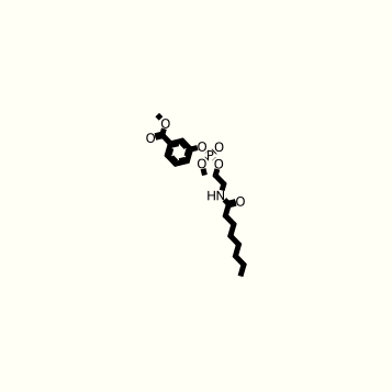 CCCCCCCC(=O)NCCOP(=O)(OC)Oc1cccc(C(=O)OC)c1